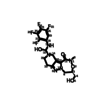 CN1O[C@H](CO)Cn2nc3c(c2C1=O)CN(C(O)Nc1cc(F)c(F)c(F)c1F)CC3